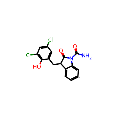 NC(=O)N1C(=O)C(Cc2cc(Cl)cc(Cl)c2O)c2cc[c]cc21